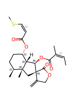 C=C1COC(=O)[C@]12C[C@@]1(C)[C@H]([C@@H](OC(=O)/C=C\SC)CC[C@@H]1C)[C@H]2OC(=O)/C(C)=C\C